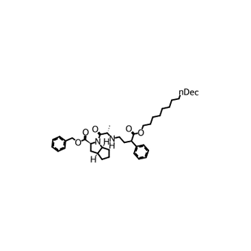 CCCCCCCCCCCCCCCCCCOC(=O)C(CCN[C@@H](C)C(=O)N1[C@H](C(=O)OCc2ccccc2)C[C@@H]2CCC[C@@H]21)c1ccccc1